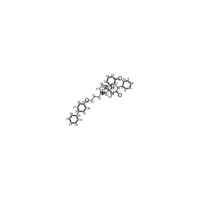 CN(C(=O)C1c2ccccc2Oc2ccccc21)[C@H]1C[N+]2(CCCOc3ccc(-c4ccccc4)cc3)CCC1CC2